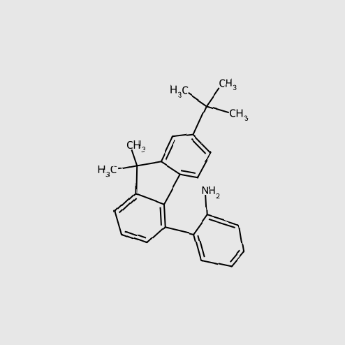 CC(C)(C)c1ccc2c(c1)C(C)(C)c1cccc(-c3ccccc3N)c1-2